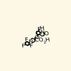 O=C1CCc2c(OCC3(C(=O)O)CCN(c4c(F)cc(F)cc4F)CC3)ccc(F)c2N1